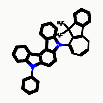 CC1(C)C2=C(CC=CC=C2n2c3ccccc3c3c4c5ccccc5n(-c5ccccc5)c4ccc32)c2ccccc21